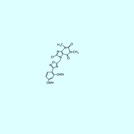 COc1ccc(-c2noc(Cn3c(Cl)nc4c3c(=O)n(C)c(=O)n4C)n2)c(OC)c1